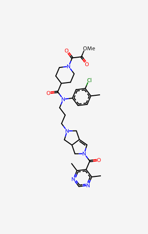 COC(=O)C(=O)N1CCC(C(=O)N(CCCN2CC3=CN(C(=O)c4c(C)ncnc4C)CC3C2)c2ccc(C)c(Cl)c2)CC1